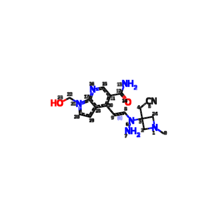 CN1CC(CC#N)(N(N)/C=C/c2c(C(N)=O)cnc3c2ccn3CO)C1